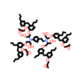 CCCc1ccc(OCC2CO2)c(Cc2cc(OCC(CO)N(CCc3ccc(N(C(CO)COc4ccc(CCC)c(Cc5cc(CCC)ccc5OCC5CO5)c4)C(CO)COc4ccc(CCC)c(Cc5cc(CCC)ccc5OCC5CO5)c4)cc3)C(CO)COc3ccc(CCC)c(Cc4cc(CCC)ccc4OCC4CO4)c3)ccc2CCC)c1